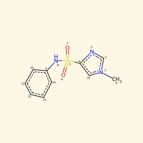 Cn1cnc(S(=O)(=O)Nc2cc[c]cc2)c1